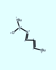 CC(C)(C)/C=C/C=N/[S+]([O-])C(C)(C)C